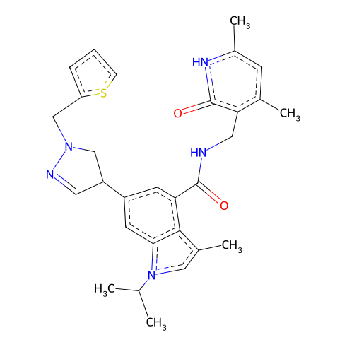 Cc1cc(C)c(CNC(=O)c2cc(C3C=NN(Cc4cccs4)C3)cc3c2c(C)cn3C(C)C)c(=O)[nH]1